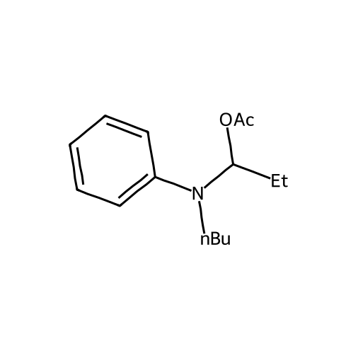 CCCCN(c1ccccc1)C(CC)OC(C)=O